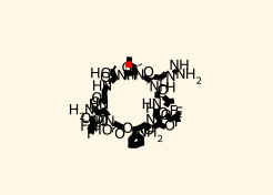 CC[C@H](C)[C@@H]1NC(=O)[C@@H](CCCNC(=N)N)NC(=O)[C@H](CC(C)C)NC(=O)[C@H]([C@H](OC(=O)C(F)(F)F)C(C)C)NC(=O)[C@@H](N)[C@@H](c2ccccc2)OC(=O)[C@H](CO)NC(=O)[C@H]([C@H](OC(=O)C(F)(F)F)C(N)=O)NC(=O)CNC(=O)[C@H]([C@H](C)O)NC1=O